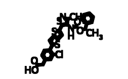 Cc1nsc(-c2cc3sc(-c4ccc(CC(=O)O)cc4Cl)cc3s2)c1NC(=O)O[C@H](C)c1ccccc1